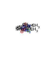 CCCCN(CCCC)CCC(=O)N1C(C)CCN(C(Cc2cccc3ccccc23)C(N)=O)C(=O)[C@H]1c1cccc(Cl)c1